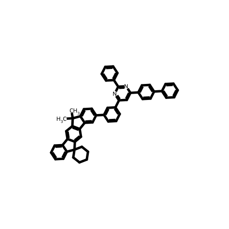 CC1(C)c2ccc(-c3cccc(-c4cc(-c5ccc(-c6ccccc6)cc5)nc(-c5ccccc5)n4)c3)cc2-c2cc3c(cc21)-c1ccccc1C31CCCCC1